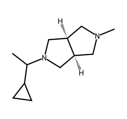 CC(C1CC1)N1C[C@H]2CN(C)C[C@H]2C1